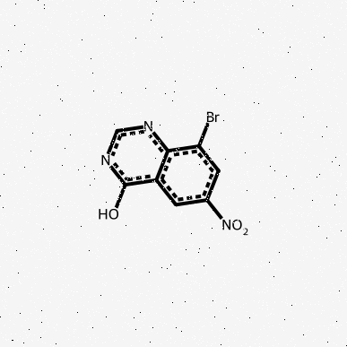 O=[N+]([O-])c1cc(Br)c2ncnc(O)c2c1